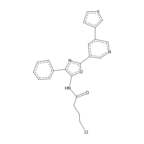 O=C(CCCCl)Nc1oc(-c2cncc(-c3ccsc3)c2)nc1-c1ccccc1